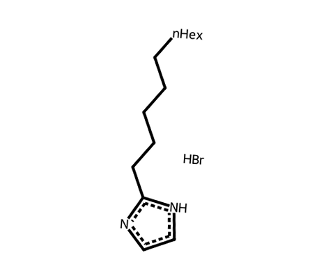 Br.CCCCCCCCCCCc1ncc[nH]1